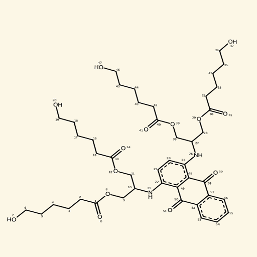 O=C(CCCCCO)OCC(COC(=O)CCCCCO)Nc1ccc(NC(COC(=O)CCCCCO)COC(=O)CCCCCO)c2c1C(=O)c1ccccc1C2=O